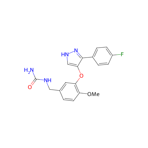 COc1ccc(CNC(N)=O)cc1Oc1c[nH]nc1-c1ccc(F)cc1